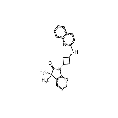 CC1(C)C(=O)N([C@H]2C[C@H](Nc3ccc4ccccc4n3)C2)c2ncncc21